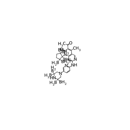 BC1(B)CN(c2ccc(Nc3ncc4c(C)c(C(C)=O)c(=O)n(C5(B)C(B)(B)CCC5(B)B)c4n3)nc2)CC(B)(B)N1